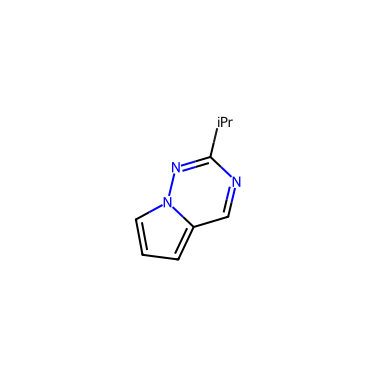 CC(C)c1ncc2cccn2n1